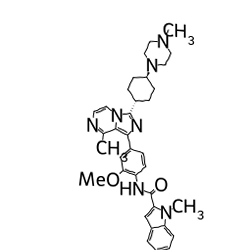 COc1cc(-c2nc([C@H]3CC[C@H](N4CCN(C)CC4)CC3)n3ccnc(C)c23)ccc1NC(=O)c1cc2ccccc2n1C